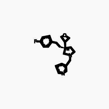 Fc1ccc(CC[C@]2(C3COC3)CCN(Cc3cccnc3)C2)cc1